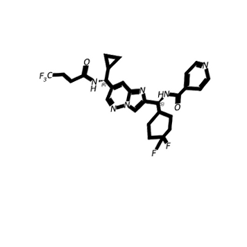 O=C(CCC(F)(F)F)N[C@@H](c1cnn2cc([C@@H](NC(=O)c3ccncc3)C3CCC(F)(F)CC3)nc2c1)C1CC1